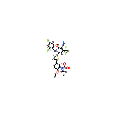 CCOc1ccc(-c2ccc(-c3cc(C(F)(F)F)c(C#N)c(=O)n3Cc3ccc(F)cc3F)s2)cc1N(C(=O)O)C(C)(C)C